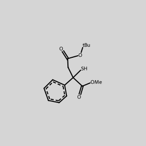 COC(=O)C(S)(CC(=O)OC(C)(C)C)c1ccccc1